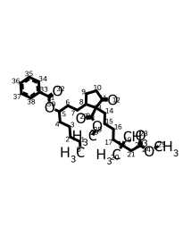 CCCCCC(CCC1CCC(=O)C1(CCCCC(C)(C)CC(=O)OC)C(=O)OC)OC(=O)c1ccccc1